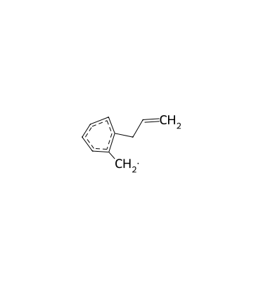 [CH2]c1ccccc1CC=C